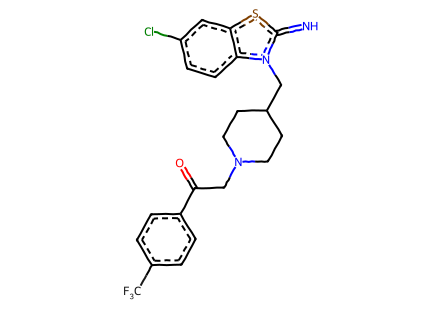 N=c1sc2cc(Cl)ccc2n1CC1CCN(CC(=O)c2ccc(C(F)(F)F)cc2)CC1